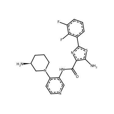 Nc1sc(-c2cccc(F)c2F)nc1C(=O)Nc1cnccc1N1CCC[C@H](N)C1